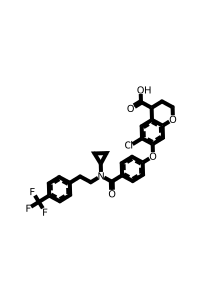 O=C(O)C1CCOc2cc(Oc3ccc(C(=O)N(CCc4ccc(C(F)(F)F)cc4)C4CC4)cc3)c(Cl)cc21